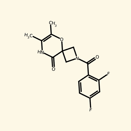 CC1=C(C)OC2(CN(C(=O)c3ccc(F)cc3F)C2)C(=O)N1